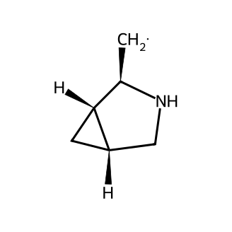 [CH2][C@H]1NC[C@@H]2C[C@@H]21